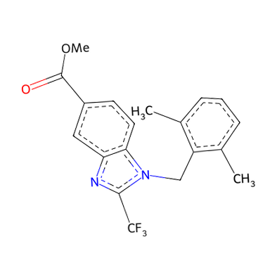 COC(=O)c1ccc2c(c1)nc(C(F)(F)F)n2Cc1c(C)cccc1C